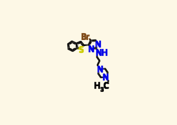 CCN1CCN(CCCNc2ncc(Br)c(-c3cc4ccccc4s3)n2)CC1